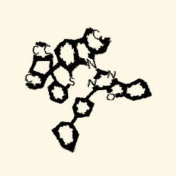 c1ccc(-c2ccc(-c3nc(-n4c5ccccc5c5ccc6c(c54)Sc4ccccc4C64c5ccccc5-c5ccccc54)nc4c3oc3ccccc34)cc2)cc1